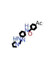 CC(=O)c1ccc(C(=O)Nc2ccc3[nH]c(CN4CCC[C@@H]4C)nc3c2)cc1